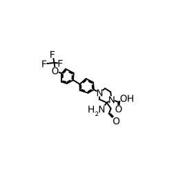 NC1(CC=O)CN(c2ccc(-c3ccc(OC(F)(F)F)cc3)cc2)CCN1C(=O)O